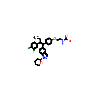 CCC(=C(c1ccc(OCCNC(=O)O)cc1)c1ccc2c(cnn2C2CCCCO2)c1)c1ccc(F)c(F)c1